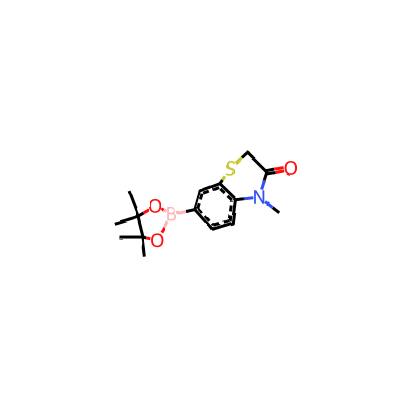 CN1C(=O)CSc2cc(B3OC(C)(C)C(C)(C)O3)ccc21